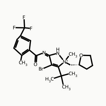 Cc1ccc(C(F)(F)F)cc1C(=O)/N=C1/N[N+](C)(C[C@H]2CCCO2)C(C(C)(C)C)=C1Br